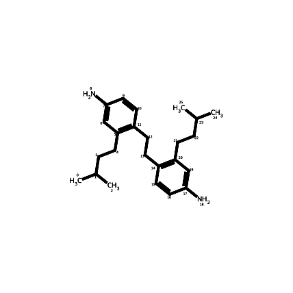 CC(C)CCc1cc(N)ccc1CCc1ccc(N)cc1CCC(C)C